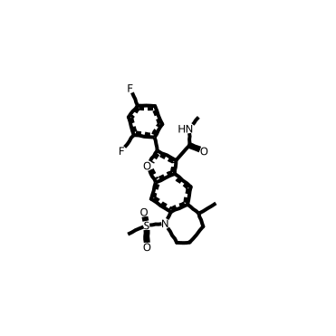 CNC(=O)c1c(-c2ccc(F)cc2F)oc2cc3c(cc12)C(C)CCCN3S(C)(=O)=O